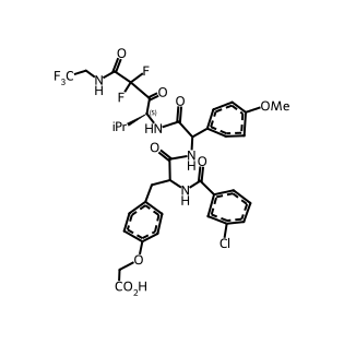 COc1ccc(C(NC(=O)C(Cc2ccc(OCC(=O)O)cc2)NC(=O)c2cccc(Cl)c2)C(=O)N[C@H](C(=O)C(F)(F)C(=O)NCC(F)(F)F)C(C)C)cc1